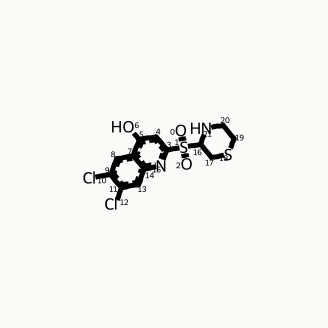 O=S(=O)(c1cc(O)c2cc(Cl)c(Cl)cc2n1)C1CSCCN1